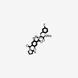 CNC(=O)[C@H](Cc1cccc(F)c1)n1nnc2cc3c(cc2c1=O)O[C@@H]1CCCN1C3=O